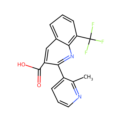 Cc1ncccc1-c1nc2c(C(F)(F)F)cccc2cc1C(=O)O